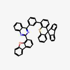 c1cc(-c2cccc3c2Sc2ccccc2C32c3ccccc3-c3ccccc32)cc(-c2nc(-c3cccc4c3oc3ccccc34)nc3ccccc23)c1